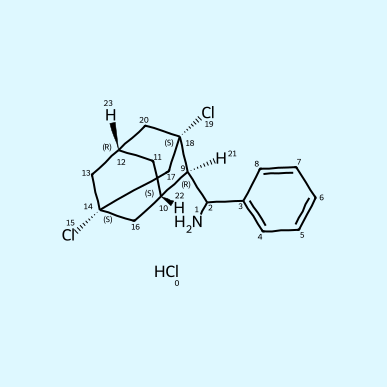 Cl.NC(c1ccccc1)[C@H]1[C@H]2C[C@@H]3C[C@](Cl)(C2)C[C@@]1(Cl)C3